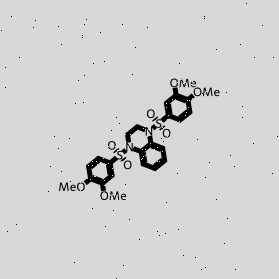 COc1ccc(S(=O)(=O)N2CCN(S(=O)(=O)c3ccc(OC)c(OC)c3)c3ccccc32)cc1OC